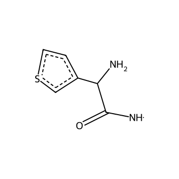 [NH]C(=O)C(N)c1ccsc1